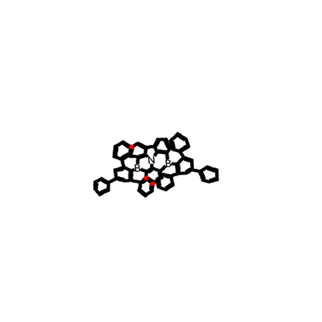 c1ccc(-c2cc(-c3ccccc3)c(B3c4cccc5c4-n4c6c3cccc6c3cccc(c34)B5c3c(-c4ccccc4)cc(-c4ccccc4)cc3-c3ccccc3)c(-c3ccccc3)c2)cc1